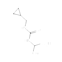 CC(C)(C)C(NC(=O)NCC1CC1)C(=O)O